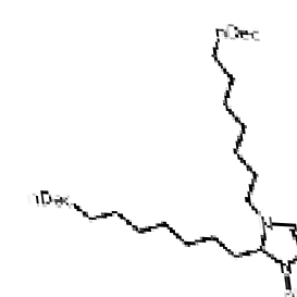 CCCCCCCCCCCCCCCCCC1N(CCCCCC)C=CN1CCCCCCCCCCCCCCCCC